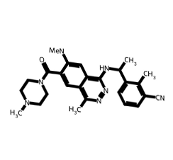 CNc1cc2c(NC(C)c3cccc(C#N)c3C)nnc(C)c2cc1C(=O)N1CCN(C)CC1